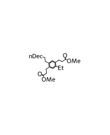 CCCCCCCCCCCCc1cc(CCC(=O)OC)c(CC)cc1CCC(=O)OC